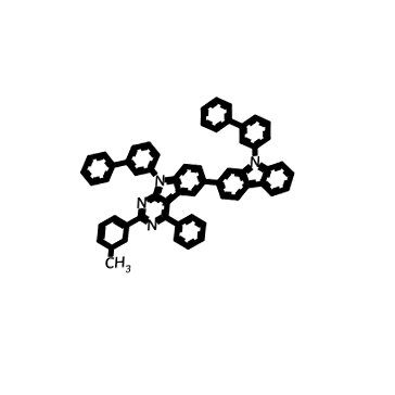 CC1C=CC=C(c2nc(-c3ccccc3)c3c4cc(-c5ccc6c7ccccc7n(-c7cccc(-c8ccccc8)c7)c6c5)ccc4n(-c4cccc(-c5ccccc5)c4)c3n2)C1